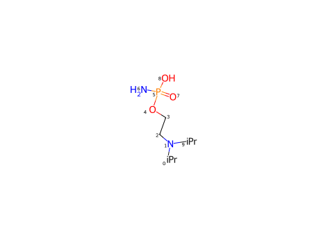 CC(C)N(CCOP(N)(=O)O)C(C)C